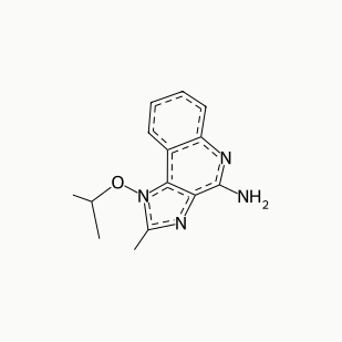 Cc1nc2c(N)nc3ccccc3c2n1OC(C)C